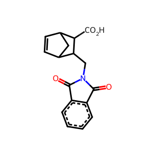 O=C(O)C1C2C=CC(C2)C1CN1C(=O)c2ccccc2C1=O